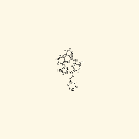 Clc1ccc(OCCN2CCOCC2)cc1Nc1nc2c(-c3nnc[nH]3)cccc2c2ccsc12